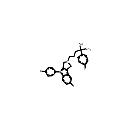 CC(O)(CCCN1Cc2c(n(-c3ccc(F)cc3)c3ccc(F)cc23)C1)c1ccc(F)cc1